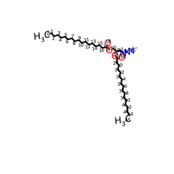 CCCCCCCCCCCCCCCCCC(=O)OCC(CN=[N+]=[N-])OC(=O)CCCCCCCCCCCCCCCCC